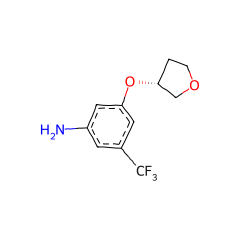 Nc1cc(O[C@@H]2CCOC2)cc(C(F)(F)F)c1